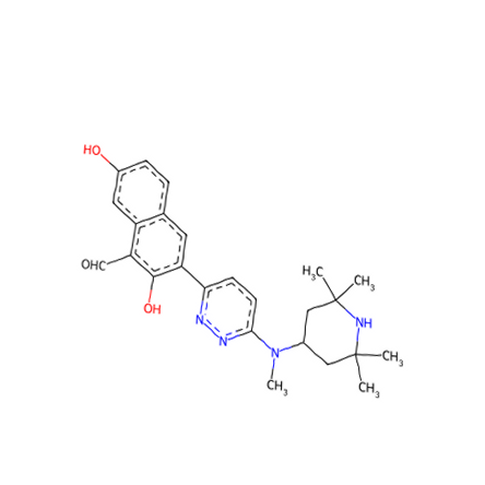 CN(c1ccc(-c2cc3ccc(O)cc3c(C=O)c2O)nn1)C1CC(C)(C)NC(C)(C)C1